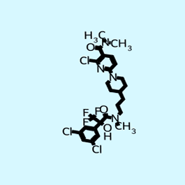 CN(C)C(=O)c1ccc(N2CCC(CCCN(C)C(=O)C(O)(c3cc(Cl)cc(Cl)c3)C(F)(F)F)CC2)nc1Cl